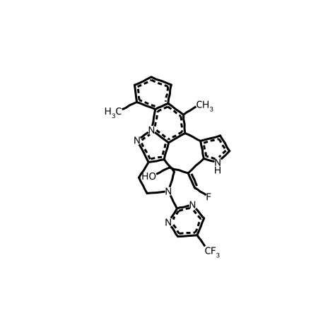 Cc1c(-c2cc[nH]c2/C(=C\F)CO)c2c3c(nn2c2c(C)cccc12)CCN(c1ncc(C(F)(F)F)cn1)C3